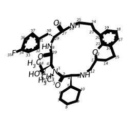 CN1C(=O)[C@H](C2CCCCC2)NCC2CCc3cccc(c3O2)CCCNC(=O)[C@@H](Cc2ccc(F)cc2)NC(=O)[C@@H]1C(C)(C)O